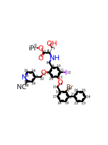 CC(C)OC(=O)[C@H](CO)NCc1cc(I)c(OCc2cccc(-c3ccccc3)c2Br)cc1OCc1ccnc(C#N)c1